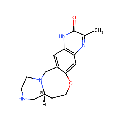 Cc1nc2cc3c(cc2[nH]c1=O)CN1CCNC[C@H]1CCO3